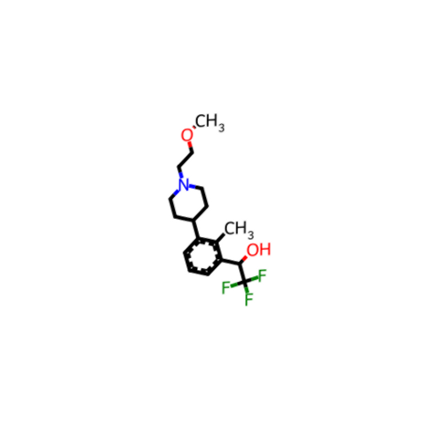 COCCN1CCC(c2cccc(C(O)C(F)(F)F)c2C)CC1